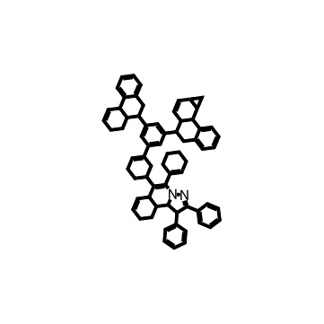 C1=CC2c3ccccc3CC(c3cc(C4=CCCC(C5=C(C6=CCCCC6)N6N=C(c7ccccc7)C(c7ccccc7)C6C6CCC=CC56)C4)cc(C4Cc5ccccc5C5C4C=CC4CC45)c3)C2CC1